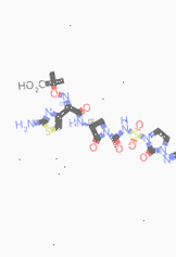 CC(C)=NN1CCN(S(=O)(=O)NC(=O)N2C[C@H](NC(=O)/C(=N/OC(C)(C)C(=O)O)c3csc(N)n3)C2=O)C1=O